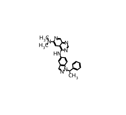 C[C@H](c1ccccc1)n1ncc2cc(Nc3ncnc4cnc(N(C)C)cc34)ccc21